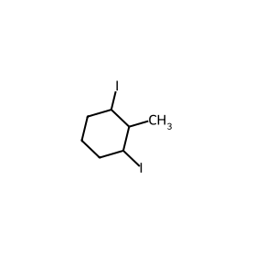 CC1C(I)CCCC1I